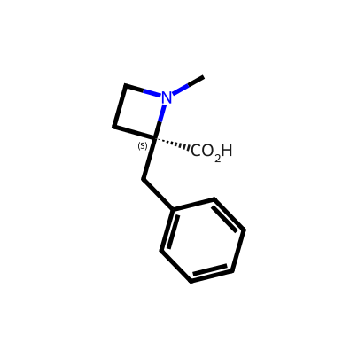 CN1CC[C@@]1(Cc1ccccc1)C(=O)O